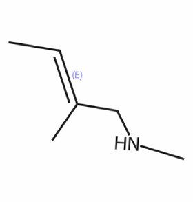 C/C=C(\C)CNC